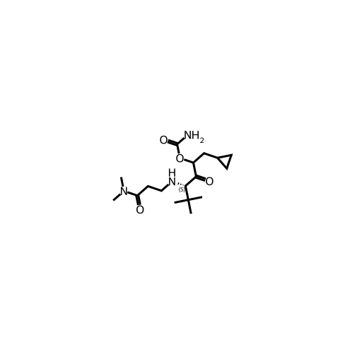 CN(C)C(=O)CCN[C@H](C(=O)C(CC1CC1)OC(N)=O)C(C)(C)C